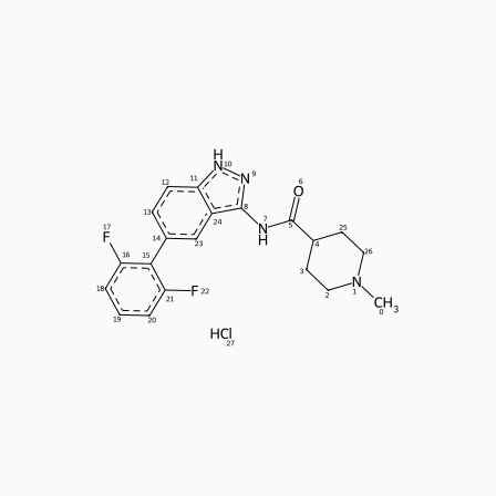 CN1CCC(C(=O)Nc2n[nH]c3ccc(-c4c(F)cccc4F)cc23)CC1.Cl